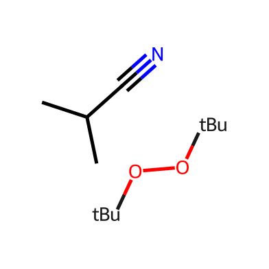 CC(C)(C)OOC(C)(C)C.CC(C)C#N